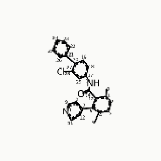 Cc1ccc(C)c(-c2ccncc2)c1C(=O)Nc1ccc(-c2ccccc2)c(Cl)c1